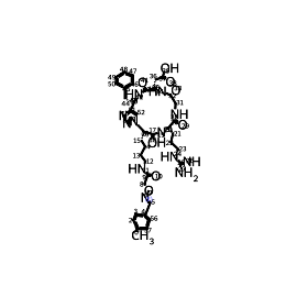 Cc1ccc(/C=N/OCC(=O)NCCCC[C@H]2C(=O)N[C@@H](CCCNC(=N)N)C(=O)NCC(=O)N[C@@H](CC(=O)O)C(=O)N[C@@H](Cc3ccccc3)c3cn2nn3)cc1